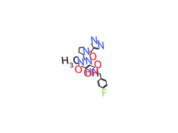 Cn1c(C2CCCN2C(=O)c2cncnc2)nc(C(=O)NCc2ccc(F)cc2)c(O)c1=O